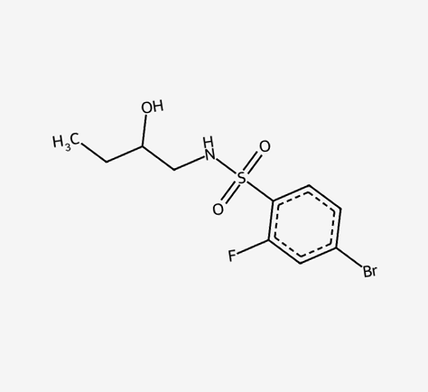 CCC(O)CNS(=O)(=O)c1ccc(Br)cc1F